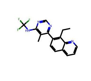 CCc1c(-c2ncnc(NC(F)(F)F)c2C)ccc2cccnc12